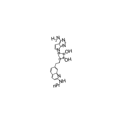 CCCNc1ccc2ccc(CC[C@H]3C[C@@H](n4ccc5c(N)ncnc54)[C@H](O)[C@@H]3O)cc2n1